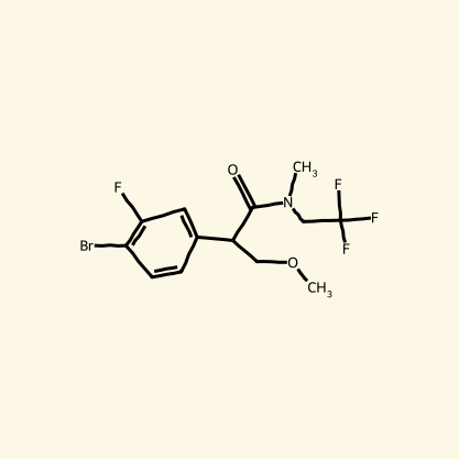 COCC(C(=O)N(C)CC(F)(F)F)c1ccc(Br)c(F)c1